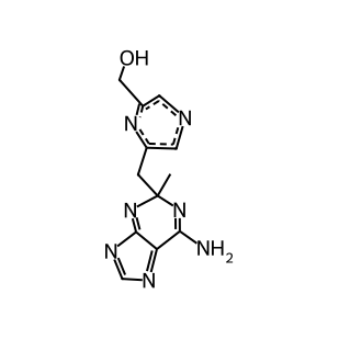 CC1(Cc2cncc(CO)n2)N=C(N)C2=NC=NC2=N1